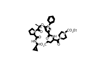 CCOC(=O)N1CCN(C(=O)C(CCC(=O)O)NC(=O)c2cc(O[C@H](C)C(=O)N3CCCC3C(=O)NCC3CC3)n(-c3ccccc3)n2)CC1